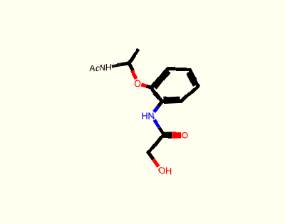 CC(=O)NC(C)Oc1ccccc1NC(=O)CO